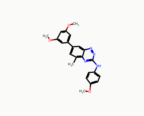 COc1ccc(Nc2nnc3cc(-c4cc(OC)cc(OC)c4)cc(C)c3n2)cc1